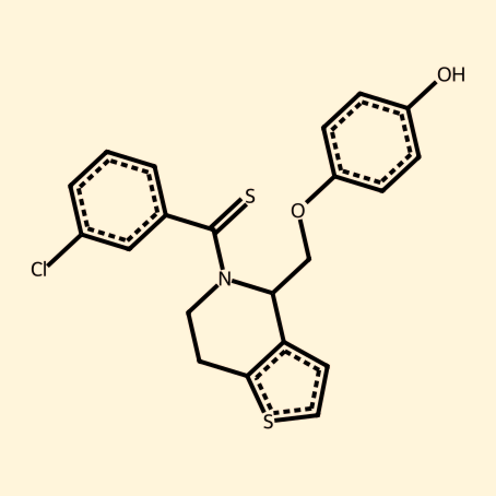 Oc1ccc(OCC2c3ccsc3CCN2C(=S)c2cccc(Cl)c2)cc1